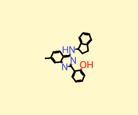 Cc1ccc2c(NC3CCc4ccccc43)nc(-c3ccccc3O)nc2c1